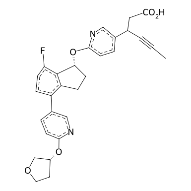 CC#CC(CC(=O)O)c1ccc(O[C@@H]2CCc3c(-c4ccc(O[C@@H]5CCOC5)nc4)ccc(F)c32)nc1